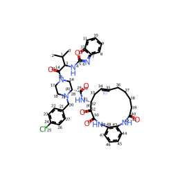 CC(C)C(Nc1nc2ccccc2o1)C(=O)N1CCN(Cc2ccc(Cl)cc2)[C@@H](C(=O)N[C@@H]2C/C=C/CCCCC(=O)Nc3ccccc3NC(=O)C2=O)C1